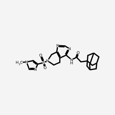 Cn1cnc(S(=O)(=O)N2CCc3c(ncnc3NC(=O)CC34CC5CC(CC(C5)C3)C4)C2)c1